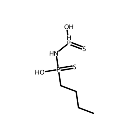 CCCCP(O)(=S)N[PH](O)=S